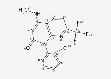 CNc1nc(=O)n(-c2ncccc2Cl)c2nc(C(F)(F)F)ccc12